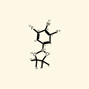 CC1(C)OB(c2cc(F)c(Br)c(F)c2)OC1(C)C